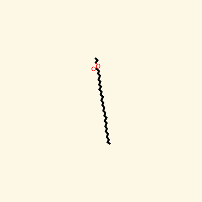 CCCCCCCCCCCCCCCCCCCCCCCCCCCCCC(=O)OCCC